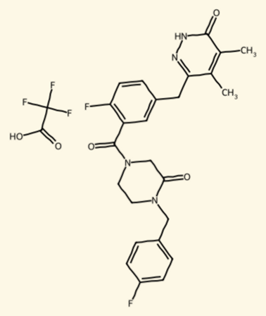 Cc1c(Cc2ccc(F)c(C(=O)N3CCN(Cc4ccc(F)cc4)C(=O)C3)c2)n[nH]c(=O)c1C.O=C(O)C(F)(F)F